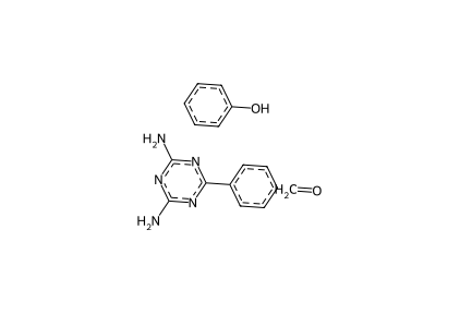 C=O.Nc1nc(N)nc(-c2ccccc2)n1.Oc1ccccc1